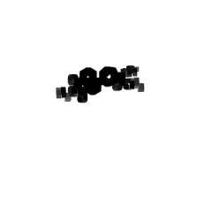 CCCc1c(C)oc2c1CC=CC(c1ccc3c4c1=CCCC=4C(=O)N(C)C3=O)C2